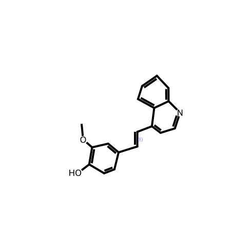 COc1cc(/C=C/c2ccnc3ccccc23)ccc1O